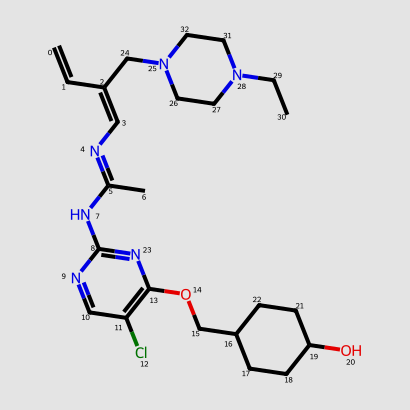 C=C/C(=C\N=C(/C)Nc1ncc(Cl)c(OCC2CCC(O)CC2)n1)CN1CCN(CC)CC1